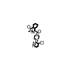 Cn1nc(C(=O)N2CCN(c3nnccc3Cl)CC2)c2ccccc2c1=O